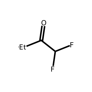 C[CH]C(=O)C(F)F